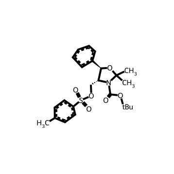 Cc1ccc(S(=O)(=O)OC[C@@H]2[C@@H](c3ccccc3)OC(C)(C)N2C(=O)OC(C)(C)C)cc1